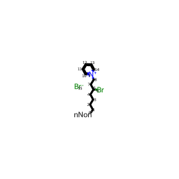 CCCCCCCCCCCCCC(Br)CC[n+]1ccccc1.[Br-]